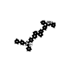 N/C(=C\C(c1ccc(-c2ccc3c(-c4cccc5cc(-c6ccc(C7N=C(c8ccc(-c9ccccc9)cc8)N=C(c8ccccc8)N7)cc6)ccc45)cccc3c2)cc1)[C@@H](N)c1ccccc1)c1ccccc1